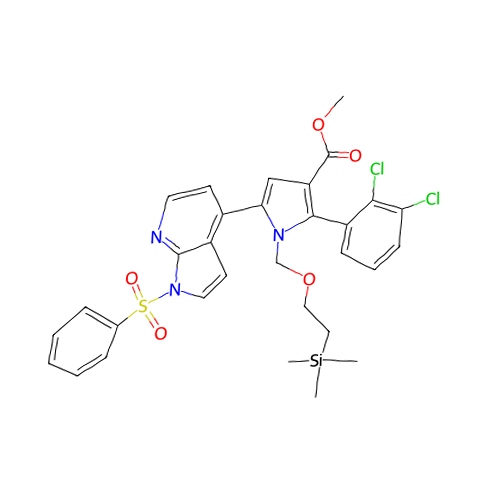 COC(=O)c1cc(-c2ccnc3c2ccn3S(=O)(=O)c2ccccc2)n(COCC[Si](C)(C)C)c1-c1cccc(Cl)c1Cl